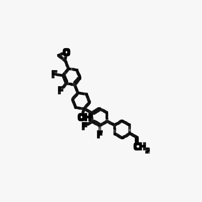 C=CC1CCC(C2CC=C(C3(O)CCC(C4=CCC(C5CO5)C(F)=C4F)CC3)C(F)=C2F)CC1